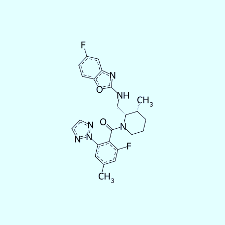 Cc1cc(F)c(C(=O)N2CCC[C@@H](C)[C@H]2CNc2nc3cc(F)ccc3o2)c(-n2nccn2)c1